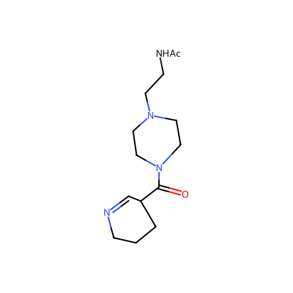 CC(=O)NCCN1CCN(C(=O)C2C=NCCC2)CC1